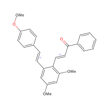 COOc1ccc(/C=C/c2cc(OC)cc(OC)c2/C=C/C(=O)c2ccccc2)cc1